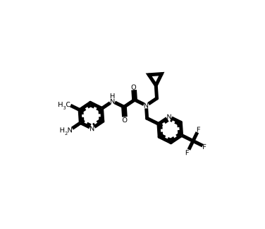 Cc1cc(NC(=O)C(=O)N(Cc2ccc(C(F)(F)F)cn2)CC2CC2)cnc1N